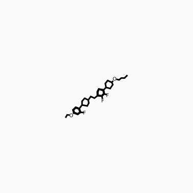 CCCCOC1CCC(c2ccc(CCC3CCC(c4ccc(OCC)cc4F)CC3)c(F)c2F)CC1